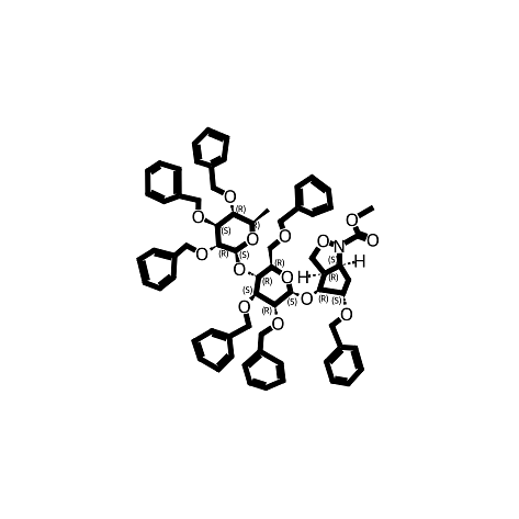 COC(=O)N1OC[C@@H]2[C@@H](O[C@H]3O[C@H](COCc4ccccc4)[C@@H](O[C@@H]4O[C@H](C)[C@@H](OCc5ccccc5)[C@H](OCc5ccccc5)[C@H]4OCc4ccccc4)[C@H](OCc4ccccc4)[C@H]3OCc3ccccc3)[C@@H](OCc3ccccc3)C[C@@H]21